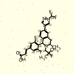 C[C@@H]1Cc2cc(-c3cnn(C(F)F)c3)ccc2C(c2c(F)cc(/C=C/C(=O)O)cc2F)N1CC(C)(C)F